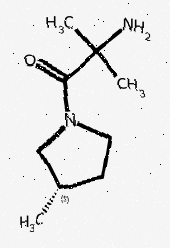 C[C@H]1CCN(C(=O)C(C)(C)N)C1